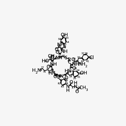 CC(=O)NCC(=O)Nc1ccc(C[C@H]2NC(=O)[C@H](Cc3ccc(O)cc3)NC(=O)[C@H](NC(=O)[C@@H](N)Cc3ccc(Cl)cc3)CSSC[C@@H](C(=O)N[C@H](Cc3ccc(O)cc3)C(N)=O)NC(=O)[C@H]([C@@H](C)O)NC(=O)[C@H](CCCCN)NC2=O)cc1